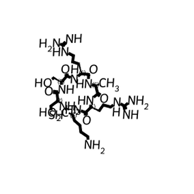 C[C@H](NC(=O)[C@H](CCCNC(=N)N)NC(=O)[C@H](CO)NC(=O)[C@@H](N)CS)C(=O)N[C@@H](CCCNC(=N)N)C(=O)N[C@@H](CCCCN)C(=O)O